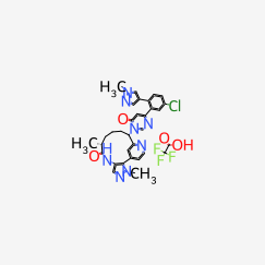 C[C@@H]1CCC[C@H](n2cnc(-c3cc(Cl)ccc3-c3cnn(C)c3)cc2=O)c2cc(ccn2)-c2c(cnn2C)NC1=O.O=C(O)C(F)(F)F